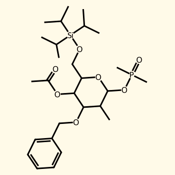 CC(=O)OC1C(CO[Si](C(C)C)(C(C)C)C(C)C)OC(OP(C)(C)=O)C(C)C1OCc1ccccc1